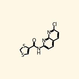 O=C(Nc1ccc2ccc(Cl)nc2n1)C1=CSCS1